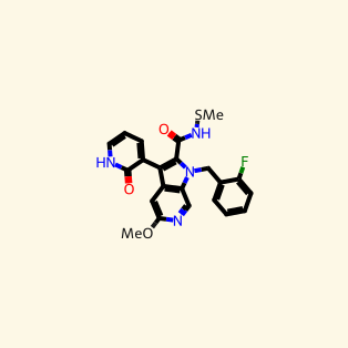 COc1cc2c(-c3ccc[nH]c3=O)c(C(=O)NSC)n(Cc3ccccc3F)c2cn1